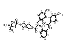 Cc1ccc(C[C@H](Nc2ccccc2NC(C)c2ccc(C)cc2)C(=O)N2CC3(CN(C(=O)OC(C)(C)C)C3)C2)cc1